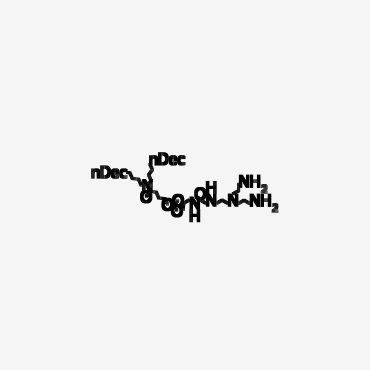 CCCCCCCCCCCCCCN(CCCCCCCCCCCCCC)C(=O)CCCOC1OCC(CNC(=O)CNCCCN(CCCN)CCCN)O1